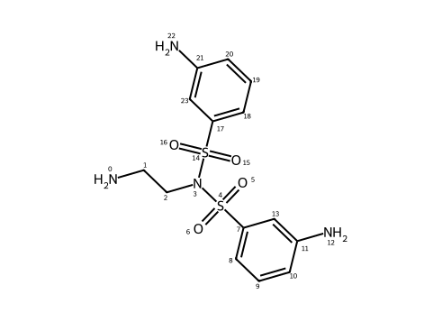 NCCN(S(=O)(=O)c1cccc(N)c1)S(=O)(=O)c1cccc(N)c1